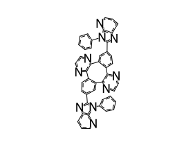 c1ccc(-n2c(-c3ccc4c(c3)-c3nccnc3-c3ccc(-c5nc6cccnc6n5-c5ccccc5)cc3-c3nccnc3-4)nc3cccnc32)cc1